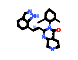 Cc1cccc(C)c1-n1c(/C=C/c2cccc3cn[nH]c23)nc2cnccc2c1=O